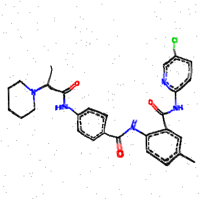 Cc1ccc(NC(=O)c2ccc(NC(=O)C(C)N3CCCCC3)cc2)c(C(=O)Nc2ccc(Cl)cn2)c1